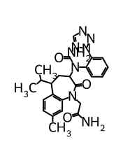 Cc1ccc2c(c1)N(CC(N)=O)C(=O)C(N(C(N)=O)c1ccccc1-n1ncnn1)CC2C(C)C